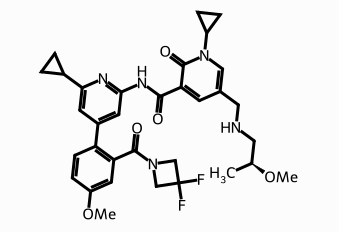 COc1ccc(-c2cc(NC(=O)c3cc(CNC[C@H](C)OC)cn(C4CC4)c3=O)nc(C3CC3)c2)c(C(=O)N2CC(F)(F)C2)c1